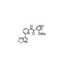 COc1n[nH]cc1C(=O)Nc1cccc(-c2cnc3n2[C@@H](C)CC3)n1